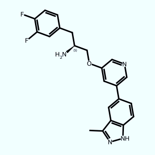 Cc1n[nH]c2ccc(-c3cncc(OC[C@@H](N)Cc4ccc(F)c(F)c4)c3)cc12